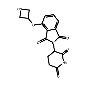 O=C1CCC(N2C(=O)c3cccc(OC4CNC4)c3C2=O)C(=O)N1